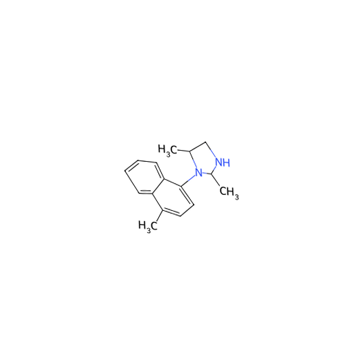 Cc1ccc(N2C(C)CNC2C)c2ccccc12